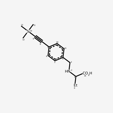 CCC(NCc1ccc(C#C[Si](C)(C)C)cc1)C(=O)O